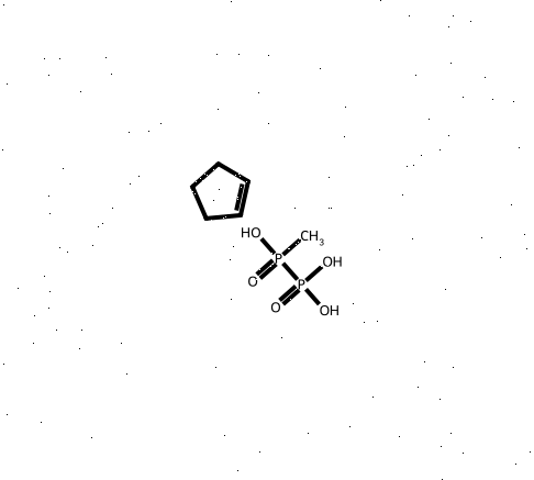 C1=CCCC1.CP(=O)(O)P(=O)(O)O